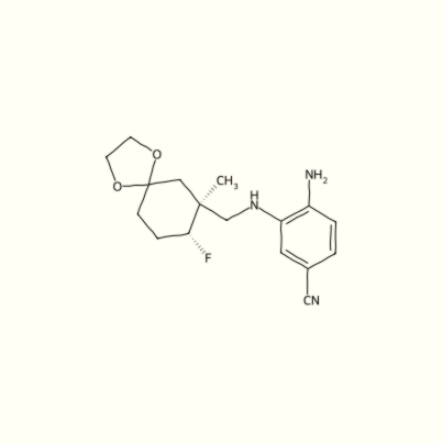 C[C@@]1(CNc2cc(C#N)ccc2N)CC2(CC[C@H]1F)OCCO2